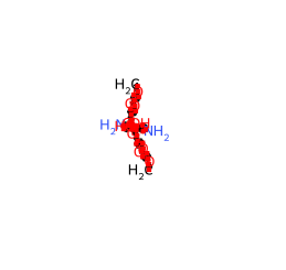 C=CCOC1CCC(C(=O)Oc2ccc(/C=C/C(=O)CC(Cc3ccc(N)cc3)(Cc3ccc(N)cc3)C(O)(O)C(=O)/C=C/c3ccc(OC(=O)C4CCC(OCC=C)CC4)cc3)cc2)CC1